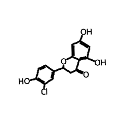 O=C1CC(c2ccc(O)c(Cl)c2)Oc2cc(O)cc(O)c21